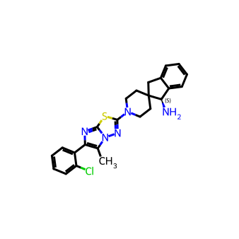 Cc1c(-c2ccccc2Cl)nc2sc(N3CCC4(CC3)Cc3ccccc3[C@H]4N)nn12